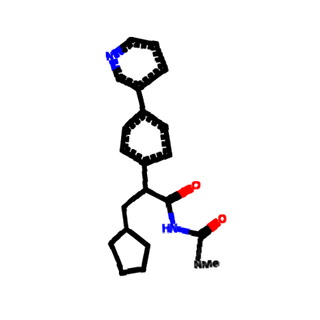 CNC(=O)NC(=O)C(CC1CCCC1)c1ccc(-c2cccnc2)cc1